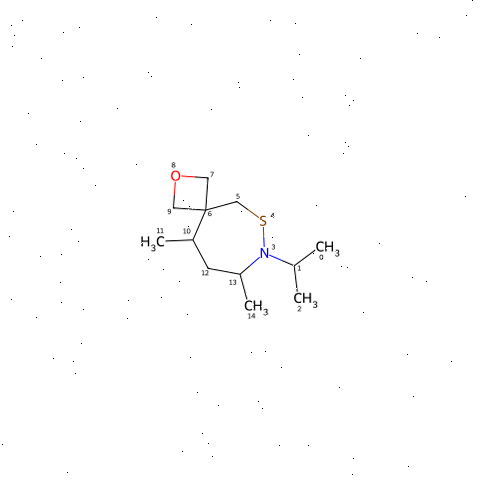 CC(C)N1SCC2(COC2)C(C)CC1C